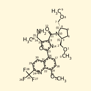 COC[C@@H]1CC[C@@H](COC)N1C(=O)c1nc(-c2ccc(OC)c3nc(C(F)(F)F)ccc23)oc1[C@H](C)N